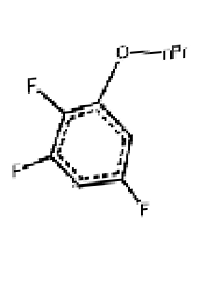 CCCOc1cc(F)[c]c(F)c1F